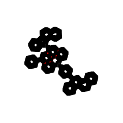 c1ccc(-c2ccc(-c3ccccc3N(c3ccc(-c4cc5c6ccccc6ccc5c5ccccc45)cc3)c3ccccc3-c3cccc(-n4c5ccccc5c5ccc6ccccc6c54)c3)cc2)cc1